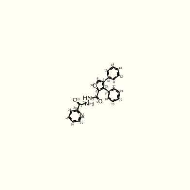 O=C(NNC(=O)c1occ(-c2ccccc2)c1-c1ccccc1)c1ccccn1